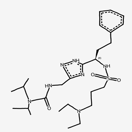 CCN(CC)CCCS(=O)(=O)N[C@H](CCc1ccccc1)c1nc(CNC(=O)N(C(C)C)C(C)C)n[nH]1